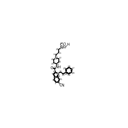 N#Cc1ccc2cc(C(=O)NC3CCN(CCCNC(=O)O)CC3)n(CCc3ccccc3)c2c1